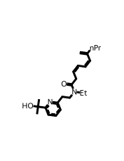 C=C(/C=C\C=C/CC(=O)N(CC)CCc1cccc(C(C)(C)O)n1)CCC